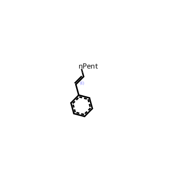 CCCCC/C=C/c1ccccc1